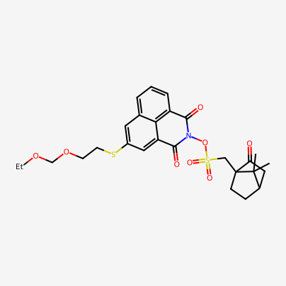 CCOCOCCSc1cc2c3c(cccc3c1)C(=O)N(OS(=O)(=O)CC13CCC(CC1=O)C3(C)C)C2=O